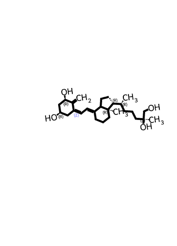 C=C1/C(=C\C=C2CCC[C@@]3(C)C2CC[C@@H]3[C@H](C)CCC[C@](C)(O)CO)C[C@@H](O)C[C@H]1O